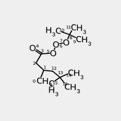 CC(CC(=O)OOOC(C)(C)C)CC(C)(C)C